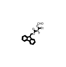 CCC(OC=O)N(F)C(=O)OCC1c2ccccc2-c2ccccc21